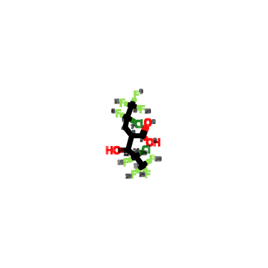 O=C(O)C(CC(F)(Cl)C(F)(F)F)C(O)C(F)(Cl)C(F)(F)F